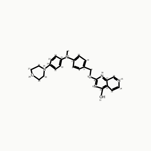 CN(c1ccc(COc2nc(O)c3ccncc3n2)cc1)c1ccc(N2CCOCC2)cc1